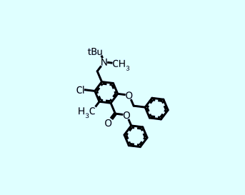 Cc1c(Cl)c(CN(C)C(C)(C)C)cc(OCc2ccccc2)c1C(=O)Oc1ccccc1